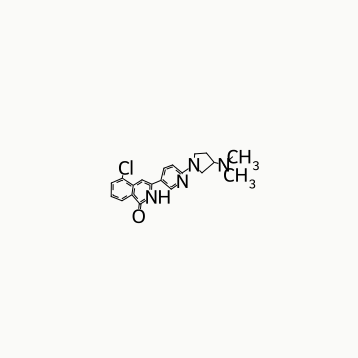 CN(C)C1CCN(c2ccc(-c3cc4c(Cl)cccc4c(=O)[nH]3)cn2)C1